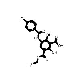 CCOC(=O)c1cc(NC(=O)c2ccc(Cl)cc2)c(O)c(C(=O)O)c1O